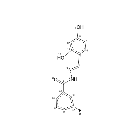 O=C(N/N=C/c1ccc(O)cc1O)c1cccc(F)c1